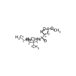 CCNCC(C)(C)CNC(=O)c1cc(OC)on1